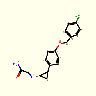 NC(=O)CN[C@H]1CC1c1ccc(OCc2ccc(Cl)cc2)cc1